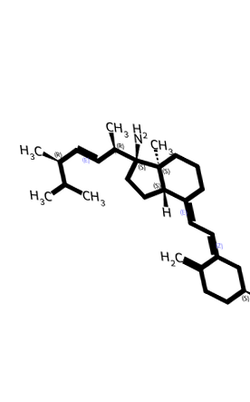 C=C1CC[C@H](C)C/C1=C/C=C1\CCC[C@@]2(C)[C@H]1CC[C@]2(N)[C@H](C)/C=C/[C@H](C)C(C)C